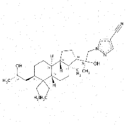 CCC1(CC)[C@@H](C[C@H](C)O)CC[C@@H]2[C@@H]1CC[C@@]1(C)[C@H]2CC[C@@H]1[C@](C)(O)Cn1cc(C#N)cn1